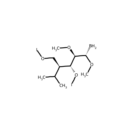 B[C@H](OC)[C@H](OC)[C@H](OI)[C@H](COI)C(C)C